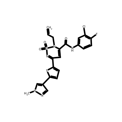 C=CCN1C(C(=O)Nc2ccc(F)c(Cl)c2)=CC(c2ccc(-c3cnn(C)c3)s2)=NS1(=O)=O